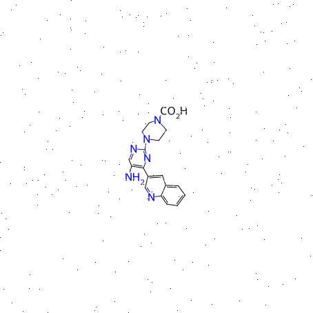 Nc1cnc(N2CCN(C(=O)O)CC2)nc1-c1cnc2ccccc2c1